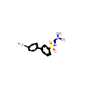 Cc1ccc(-c2cccc(S(=O)(=O)N=CN(C)C)c2)cc1